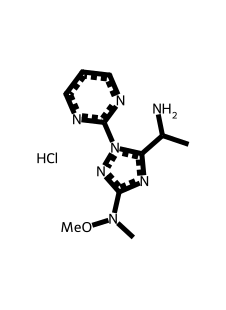 CON(C)c1nc(C(C)N)n(-c2ncccn2)n1.Cl